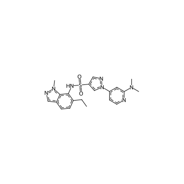 CCc1ccc2cnn(C)c2c1NS(=O)(=O)c1cnn(-c2ccnc(N(C)C)c2)c1